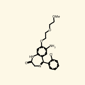 COCCOCCOc1cc2c(cc1N)C(c1ccccc1Cl)=NCC(=O)N2